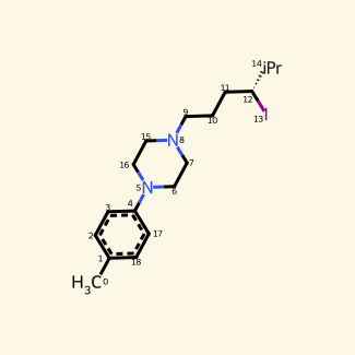 Cc1ccc(N2CCN(CCC[C@@H](I)C(C)C)CC2)cc1